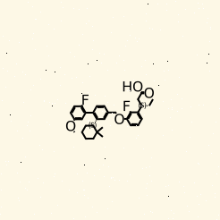 CC[C@@H](CC(=O)O)c1cccc(OCc2ccc(-c3cc(OC)ccc3F)c([C@H]3CCCCC3(C)C)c2)c1F